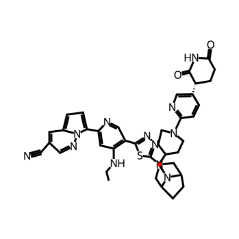 CCNc1cc(-c2ccc3cc(C#N)cnn23)ncc1-c1nnc(N2CC3CCC(C2)N3CC2CCN(c3ccc([C@H]4CCC(=O)NC4=O)cn3)CC2)s1